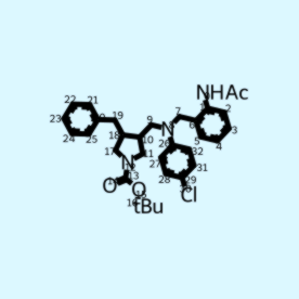 CC(=O)Nc1ccccc1CN(CC1CN(C(=O)OC(C)(C)C)CC1Cc1ccccc1)c1ccc(Cl)cc1